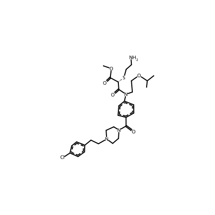 COC(=O)[C@H](SCCN)C(=O)N(CCOC(C)C)c1ccc(C(=O)N2CCN(CCc3ccc(Cl)cc3)CC2)cc1